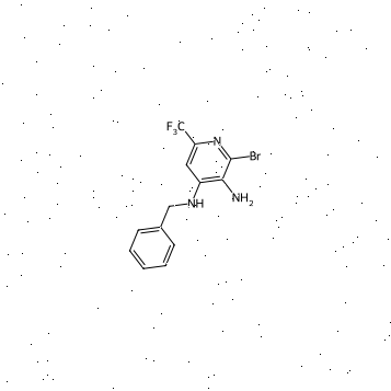 Nc1c(NCc2ccccc2)cc(C(F)(F)F)nc1Br